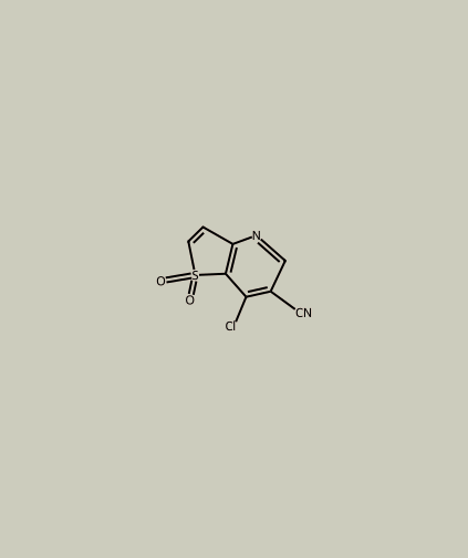 N#Cc1cnc2c(c1Cl)S(=O)(=O)C=C2